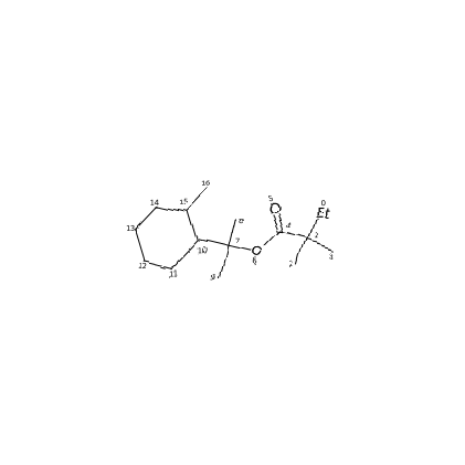 CCC(C)(C)C(=O)OC(C)(C)C1CCCCC1C